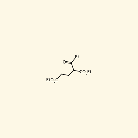 CCOC(=O)CCC(C(=O)CC)C(=O)OCC